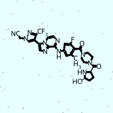 Cc1cc(Nc2nccn3c(-c4cn(CC#N)nc4C(F)(F)F)cnc23)cc(F)c1C(=O)N1CCN(C(=O)[C@H]2CC[C@H](O)N2)CC1